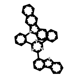 c1ccc(-c2nc(-c3ccccc3-n3c4ccccc4c4cc5ccccc5cc43)nc(-c3cccc4c3sc3ccccc34)n2)cc1